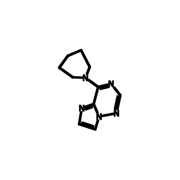 c1cn2ncnc(N3CCCCC3)c2n1